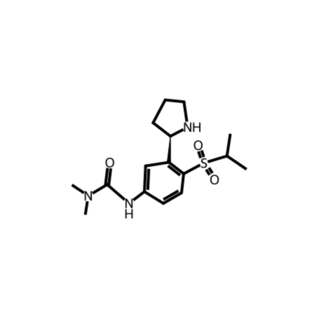 CC(C)S(=O)(=O)c1ccc(NC(=O)N(C)C)cc1[C@H]1CCCN1